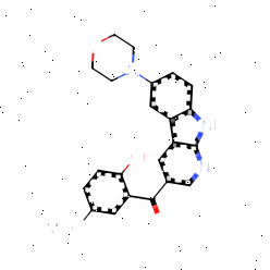 COc1ccc(O)c(C(=O)c2cnc3[nH]c4ccc(N5CCOCC5)cc4c3c2)c1